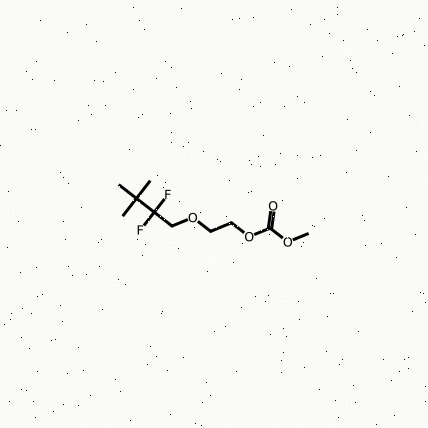 COC(=O)OCCOCC(F)(F)C(C)(C)C